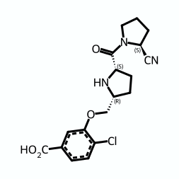 N#C[C@@H]1CCCN1C(=O)[C@@H]1CC[C@H](COc2cc(C(=O)O)ccc2Cl)N1